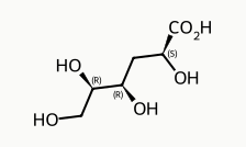 O=C(O)[C@@H](O)C[C@@H](O)[C@H](O)CO